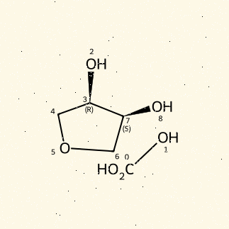 O=C(O)O.O[C@@H]1COC[C@@H]1O